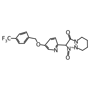 O=C1C(c2ccc(OCc3ccc(C(F)(F)F)cc3)cn2)[N+](=O)N2CCCCN12